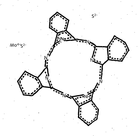 [Mo+4].[S-2].[S-2].c1ccc2c(c1)-c1nc-2nc2[nH]c(nc3nc(nc4[nH]c(n1)c1ccccc41)-c1ccccc1-3)c1ccccc21